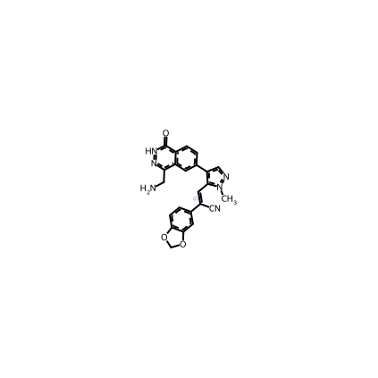 Cn1ncc(-c2ccc3c(=O)[nH]nc(CN)c3c2)c1/C=C(\C#N)c1ccc2c(c1)OCO2